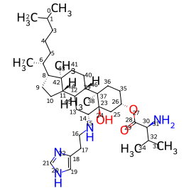 CC(C)CCC[C@@H](C)[C@H]1CC[C@H]2[C@@H]3C[C@@H](NCCc4c[nH]cn4)[C@@]4(O)C[C@@H](OC(=O)[C@@H](N)C(C)C)CC[C@]4(C)[C@H]3CC[C@]12C